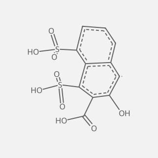 O=C(O)c1c(O)[c]c2cccc(S(=O)(=O)O)c2c1S(=O)(=O)O